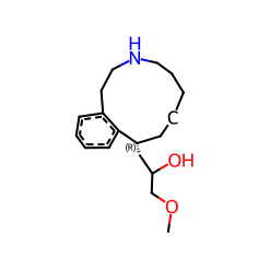 COCC(O)C[C@H]1CCCCCNCCc2ccccc21